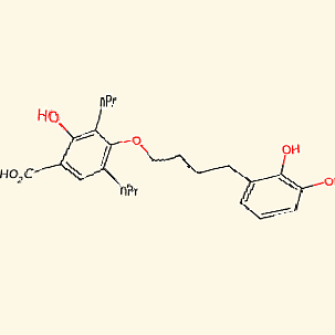 CCCc1cc(C(=O)O)c(O)c(CCC)c1OCCCCc1cccc(O)c1O